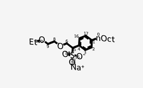 CCCCCCCCc1ccc(C(COCCOCC)S(=O)(=O)[O-])cc1.[Na+]